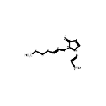 CCCCCCC=C[C@H]1C=CC(=O)[C@@H]1CC=CCCCC(=O)O